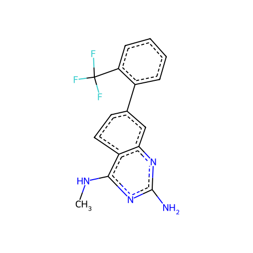 CNc1nc(N)nc2cc(-c3ccccc3C(F)(F)F)ccc12